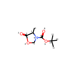 CC1C(=O)OCN1C(=O)OC(C)(C)C